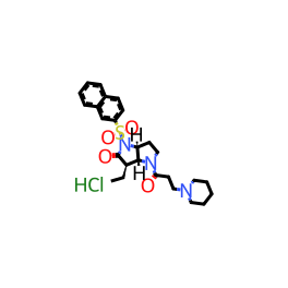 CC[C@H]1C(=O)N(S(=O)(=O)c2ccc3ccccc3c2)[C@H]2CCN(C(=O)CCN3CCCCC3)[C@H]12.Cl